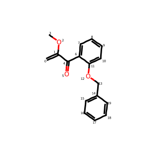 C=C(OC)C(=O)c1ccccc1OCc1ccccc1